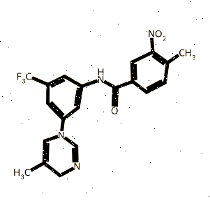 CC1=CN(c2cc(NC(=O)c3ccc(C)c([N+](=O)[O-])c3)cc(C(F)(F)F)c2)C=NC1